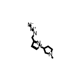 CN1CCC(n2ccc(CN=[N+]=[N-])n2)C1